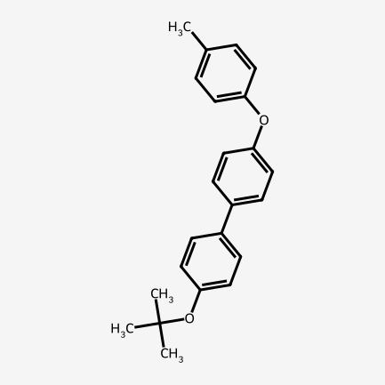 Cc1ccc(Oc2ccc(-c3ccc(OC(C)(C)C)cc3)cc2)cc1